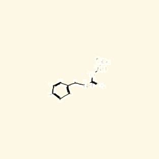 CC[C@@H](C)NOC(=O)NCc1ccccc1